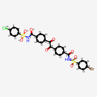 O=C(NS(=O)(=O)c1ccc(Cl)cc1)c1ccc(C(=O)C(=O)c2ccc(C(=O)NS(=O)(=O)c3ccc(Br)cc3)cc2)cc1